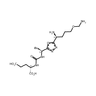 CCC(C)[C@H](NC(=O)N[C@@H](CCC(=O)O)C(=O)O)c1nnc([C@@H](N)CCCOCN)o1